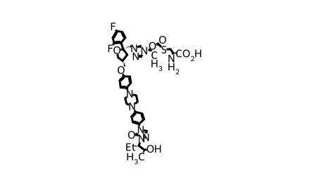 CC[C@@H]([C@H](C)O)n1ncn(-c2ccc(N3CCN(c4ccc(OC[C@@H]5CO[C@@](Cn6c[n+](C(C)OC(=O)SC[C@H](N)C(=O)O)cn6)(c6ccc(F)cc6F)C5)cc4)CC3)cc2)c1=O